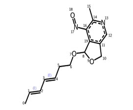 C/C=C/C=C/CCOC1OCc2cnc(C)c(N=O)c21